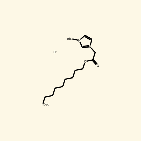 CCCCCCCCCCCCCCCCCCOC(=O)C[n+]1ccn(CCCC)c1.[Cl-]